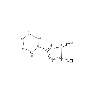 Clc1ccc(C2CCCCO2)cc1Cl